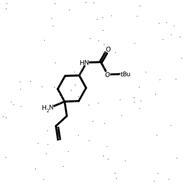 C=CCC1(N)CCC(NC(=O)OC(C)(C)C)CC1